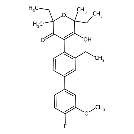 CCc1cc(-c2ccc(F)c(OC)c2)ccc1C1=C(O)C(C)(CC)OC(C)(CC)C1=O